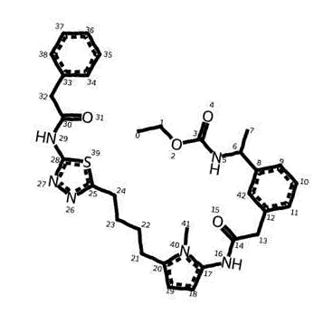 CCOC(=O)NC(C)c1cccc(CC(=O)Nc2ccc(CCCCc3nnc(NC(=O)Cc4ccccc4)s3)n2C)c1